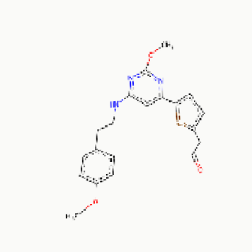 COc1ccc(CCNc2cc(-c3ccc(CC=O)s3)nc(OC)n2)cc1